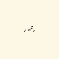 [O].[P].[Si].[V]